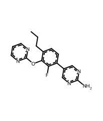 CCCc1ccc(-c2cnc(N)nc2)c(F)c1Oc1ncccn1